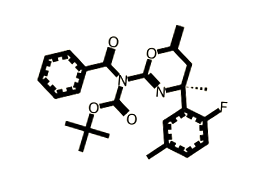 C=C1C[C@@](C)(c2cc(C)ccc2F)N=C(N(C(=O)OC(C)(C)C)C(=O)c2ccccc2)O1